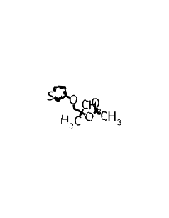 CC(=O)OC(C)(C)COc1ccsc1